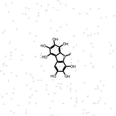 Oc1cc2c3c(O)c(O)c(O)c(O)c3n(F)c2c(O)c1O